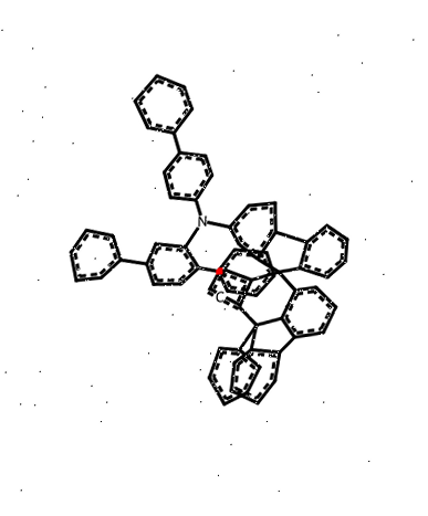 c1ccc(-c2ccc(N(c3ccc4c(c3)C3(c5ccccc5-4)c4ccccc4C4(c5ccccc5)c5ccccc5-c5cccc3c54)c3cc(-c4ccccc4)ccc3-c3ccccc3)cc2)cc1